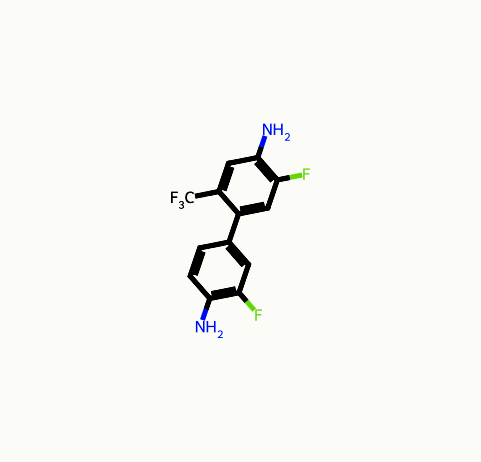 Nc1ccc(-c2cc(F)c(N)cc2C(F)(F)F)cc1F